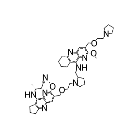 COc1nc2c(NCC3CCCN3CCOCc3cc4nc5c(c(N[C@H](C)CC#N)c4nc3OC)CCC5)c3c(nc2cc1COCCN1CCCC1)CCCC3